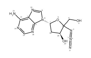 [N-]=[N+]=NC1(CO)O[C@@H](n2cnc3c(N)ncnc32)C[C@@H]1O